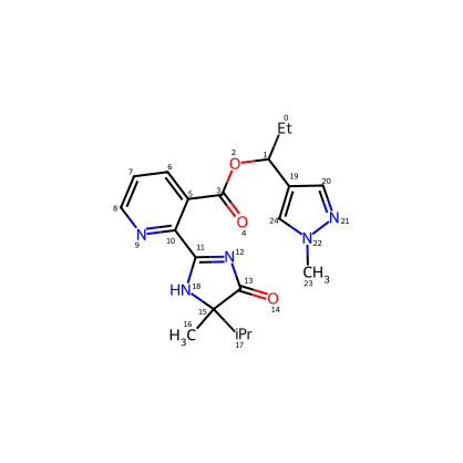 CCC(OC(=O)c1cccnc1C1=NC(=O)C(C)(C(C)C)N1)c1cnn(C)c1